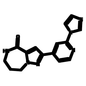 O=C1NCCCn2nc(-c3ccnc(-n4ccnc4)c3)cc21